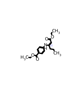 CCC/C(=C/C(=O)OCC)Nc1ccc(C(=O)OCC)cc1